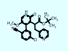 COc1c[nH]c(=O)c(C(Cc2cccnc2)C(=O)OC(C)(C)C)c1-c1cc(Cl)ccc1C#N